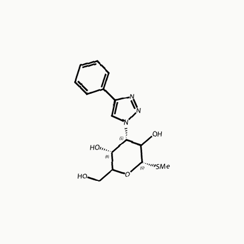 CS[C@@H]1OC(CO)[C@H](O)[C@H](n2cc(-c3ccccc3)nn2)C1O